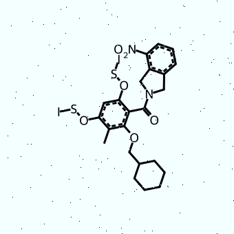 Cc1c(OSI)cc(OSI)c(C(=O)N2Cc3cccc([N+](=O)[O-])c3C2)c1OCC1CCCCC1